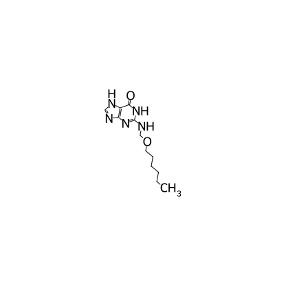 CCCCCCOCNc1nc2nc[nH]c2c(=O)[nH]1